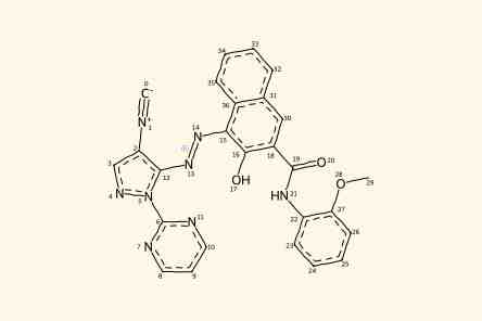 [C-]#[N+]c1cnn(-c2ncccn2)c1/N=N/c1c(O)c(C(=O)Nc2ccccc2OC)cc2ccccc12